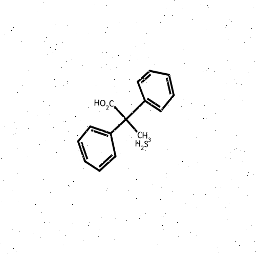 CC(C(=O)O)(c1ccccc1)c1ccccc1.S